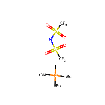 CCCC[P+](C)(CCCC)CCCC.O=S(=O)([N-]S(=O)(=O)C(F)(F)F)C(F)(F)F